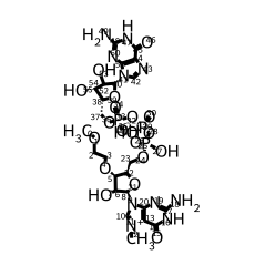 COCCO[C@@H]1C(O)[C@H](n2c[n+](C)c3c(=O)[nH]c(N)nc32)O[C@@H]1COP(=O)(O)OP(=O)(O)OP(=O)(O)OC[C@H]1O[C@@H](n2cnc3c(=O)[nH]c(N)nc32)C(O)[C@H]1O